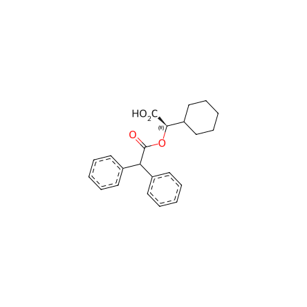 O=C(O[C@@H](C(=O)O)C1CCCCC1)C(c1ccccc1)c1ccccc1